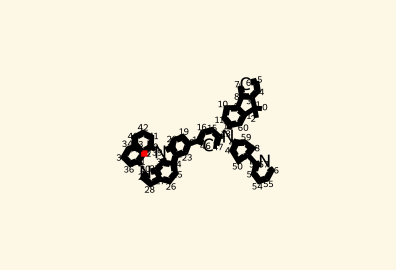 CC1(C)c2ccccc2-c2ccc(N(c3ccc(-c4ccc5c(c4)c4ccc6ccn(-c7ccccc7)c6c4n5-c4ccccc4)cc3)c3ccc(-c4ccccn4)cc3)cc21